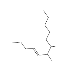 CCCC=CC(C)C(C)CCCCC